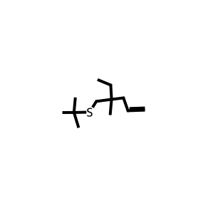 C=CCC(C)(CC)CSC(C)(C)C